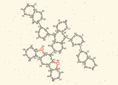 c1cc(-c2ccc3ccccc3c2)cc(-c2c3ccccc3c(-c3cccc(-c4ccc5ccccc5c4)c3)c3cc(-c4c5oc6ccccc6c5cc5c4oc4ccccc45)ccc23)c1